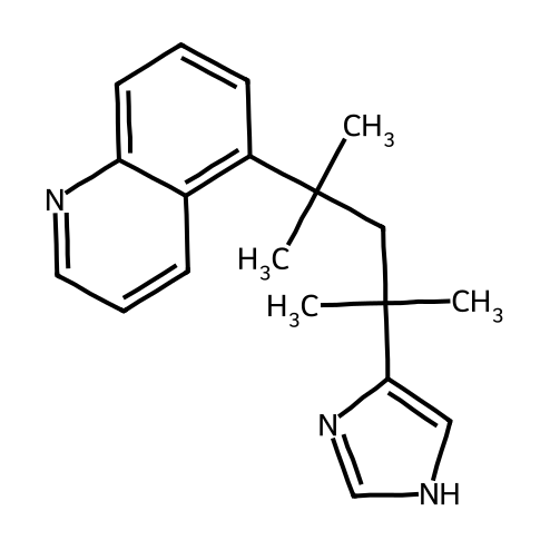 CC(C)(CC(C)(C)c1cccc2ncccc12)c1c[nH]cn1